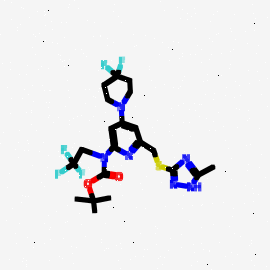 Cc1nc(SCc2cc(N3CCC(F)(F)CC3)cc(N(CC(F)(F)F)C(=O)OC(C)(C)C)n2)n[nH]1